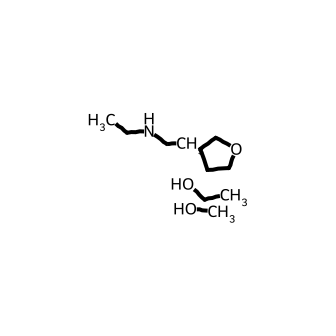 C1CCOC1.CCNCC.CCO.CO